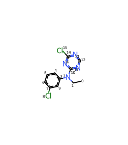 CCN(c1cccc(Cl)c1)c1ncnc(Cl)n1